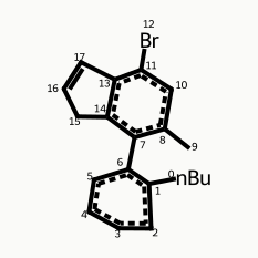 CCCCc1ccccc1-c1c(C)cc(Br)c2c1CC=C2